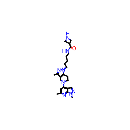 Cc1cc(N2CCc3c(c(C)nn3CCCCCNC(=O)C3CNC3)C2)c2cnn(C)c2n1